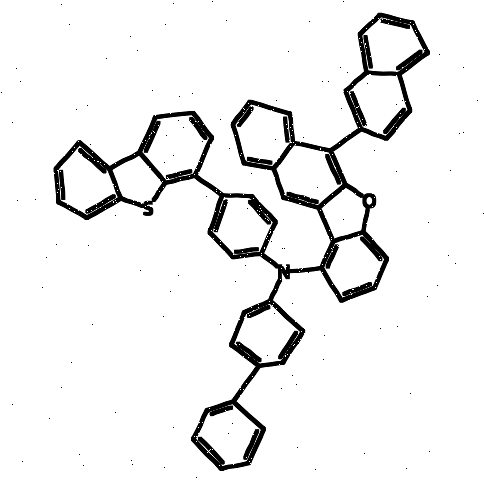 c1ccc(-c2ccc(N(c3ccc(-c4cccc5c4sc4ccccc45)cc3)c3cccc4oc5c(-c6ccc7ccccc7c6)c6ccccc6cc5c34)cc2)cc1